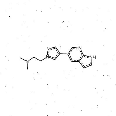 CN(C)CCn1cc(-c2cnc3[nH]ccc3c2)cn1